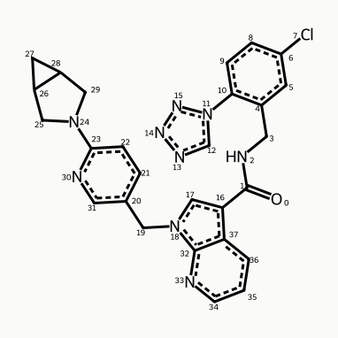 O=C(NCc1cc(Cl)ccc1-n1cnnn1)c1cn(Cc2ccc(N3CC4CC4C3)nc2)c2ncccc12